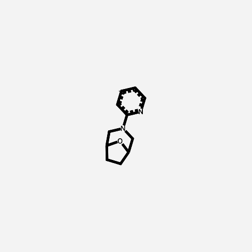 [c]1ccnc(N2CC3CCC(C2)O3)c1